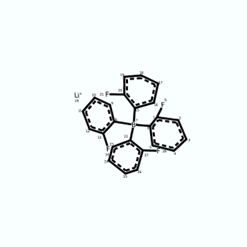 Fc1ccccc1[B-](c1ccccc1F)(c1ccccc1F)c1ccccc1F.[Li+]